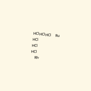 Cl.Cl.Cl.Cl.Cl.Cl.[Rh].[Ru]